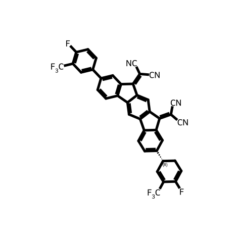 N#CC(C#N)=C1c2cc(-c3ccc(F)c(C(F)(F)F)c3)ccc2-c2cc3c(cc21)C(=C(C#N)C#N)c1cc([C@H]2C=C(C(F)(F)F)C(F)=CC2)ccc1-3